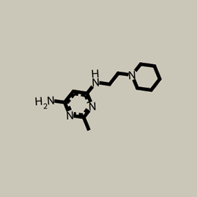 Cc1nc(N)cc(NCCN2CCCCC2)n1